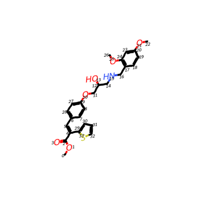 COC(=O)/C(=C/c1ccc(OCC(O)CNCc2ccc(OC)cc2OC)cc1)c1cccs1